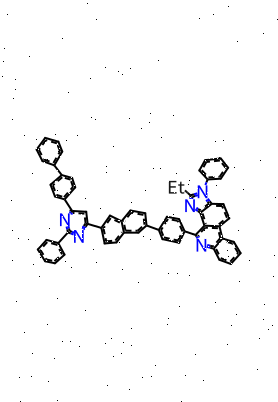 CCc1nc2c3c(-c4ccc(-c5ccc6cc(-c7cc(-c8ccc(-c9ccccc9)cc8)nc(-c8ccccc8)n7)ccc6c5)cc4)nc4ccccc4c3ccc2n1-c1ccccc1